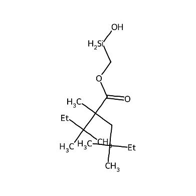 CCC(C)(C)CC(C)(C(=O)OC[SiH2]O)C(C)(C)CC